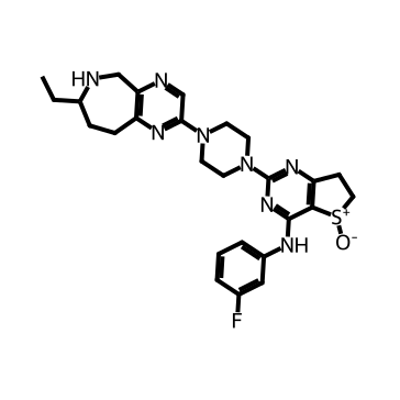 CCC1CCc2nc(N3CCN(c4nc5c(c(Nc6cccc(F)c6)n4)[S+]([O-])CC5)CC3)cnc2CN1